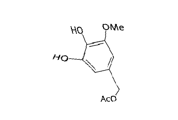 COc1cc(COC(C)=O)cc(O)c1O